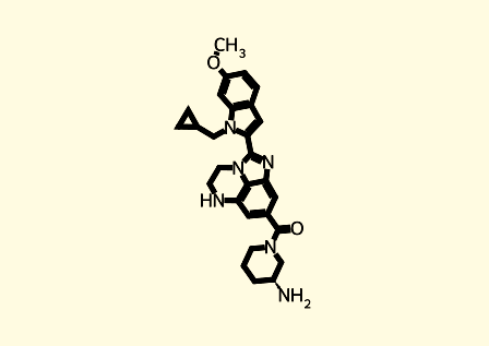 COc1ccc2cc(-c3nc4cc(C(=O)N5CCC[C@@H](N)C5)cc5c4n3CCN5)n(CC3CC3)c2c1